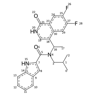 CC(C)CN(C(=O)c1cc2ccccc2[nH]1)C(C)c1c[nH]c(=O)c2cc(F)c(F)cc12